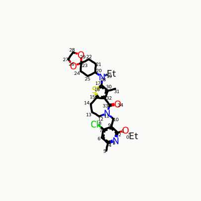 CCOc1nc(C)cc(Cl)c1CN1CCCc2sc(N(CC)C3CCC4(CC3)OCCO4)c(C)c2C1=O